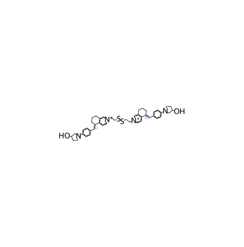 OC1CCN(c2ccc(/C=C3\CCCc4c[n+](CCSSCC[n+]5ccc6c(c5)CCC/C6=C\c5ccc(N6CCC(O)C6)cc5)ccc43)cc2)C1